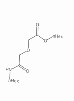 CCCCCCNC(=O)COCC(=O)OCCCCCC